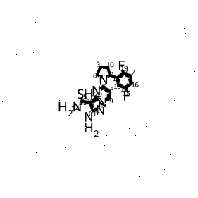 Nc1nn2ccc(N3CCCC3c3cc(F)ccc3F)nc2c1C(N)S